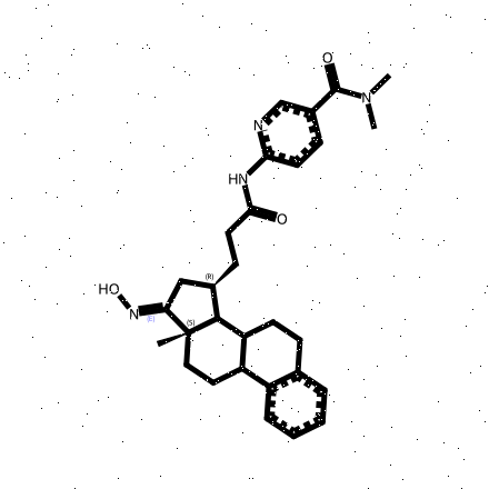 CN(C)C(=O)c1ccc(NC(=O)CC[C@@H]2C/C(=N\O)[C@@]3(C)CCC4c5ccccc5CCC4C23)nc1